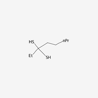 [CH2]CCCCC(S)(S)CC